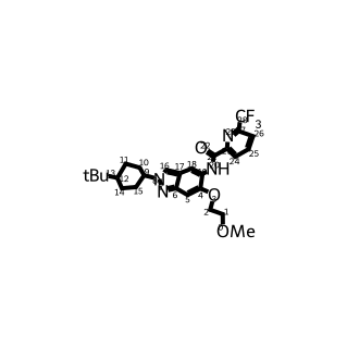 COCCOc1cc2nn(C3CCC(C(C)(C)C)CC3)cc2cc1NC(=O)c1cccc(C(F)(F)F)n1